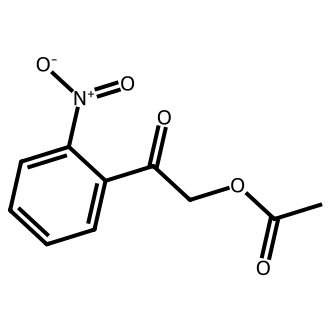 CC(=O)OCC(=O)c1ccccc1[N+](=O)[O-]